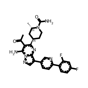 CC(=O)c1c([C@@H]2CCN(C(N)=O)[C@@H](C)C2)nc2c(-c3ccc(-c4ccc(F)cc4F)nc3)cnn2c1N